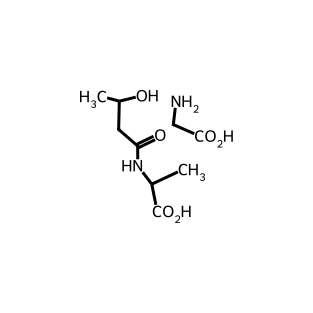 CC(O)CC(=O)NC(C)C(=O)O.NCC(=O)O